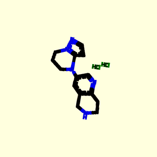 Cl.Cl.c1cc2n(n1)CCCN2c1cnc2c(c1)CNCC2